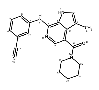 Cc1c[nH]c2c(Nc3cccc(C#N)c3)ncc(C(=O)N3CCCCC3)c12